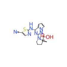 C[C@@]1(C(=O)O)CCCN1c1nc(Nc2ncc(C#N)s2)c2cccn2n1